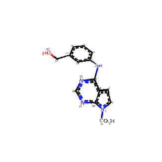 O=C(O)n1ccc2c(Nc3cccc(CO)c3)ncnc21